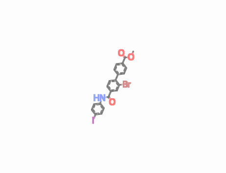 COC(=O)c1ccc(-c2ccc(C(=O)Nc3ccc(I)cc3)cc2Br)cc1